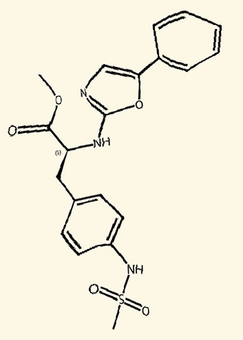 COC(=O)[C@H](Cc1ccc(NS(C)(=O)=O)cc1)Nc1ncc(-c2ccccc2)o1